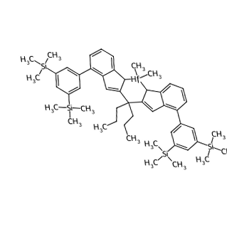 CCCC1(CCC)C2=Cc3c(-c4cc([Si](C)(C)C)cc([Si](C)(C)C)c4)cccc3[CH]2[Hf]([CH3])([CH3])[CH]2C1=Cc1c(-c3cc([Si](C)(C)C)cc([Si](C)(C)C)c3)cccc12